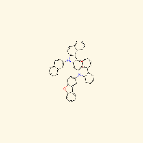 c1ccc(-c2ccccc2N(c2ccc3oc4ccccc4c3c2)c2ccc3c4c5ccccc5ccc4n(-c4ccc5ccccc5c4)c3c2)cc1